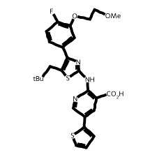 COCCOc1cc(-c2nc(Nc3ncc(-c4cccs4)cc3C(=O)O)sc2CC(C)(C)C)ccc1F